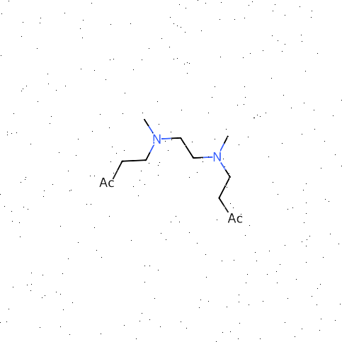 CC(=O)CCN(C)CCN(C)CCC(C)=O